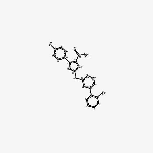 CC(C)c1ccccc1-c1cncc(Sc2cc(-c3ccc(F)cc3)c(C(N)=O)s2)c1